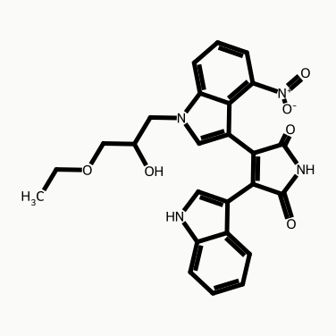 CCOCC(O)Cn1cc(C2=C(c3c[nH]c4ccccc34)C(=O)NC2=O)c2c([N+](=O)[O-])cccc21